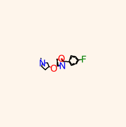 CN1CCC(Oc2coc(-c3ccc(F)cc3)n2)C1